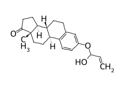 C=CC(O)Oc1ccc2c(c1)CC[C@@H]1[C@@H]2CC[C@]2(C)C(=O)CC[C@@H]12